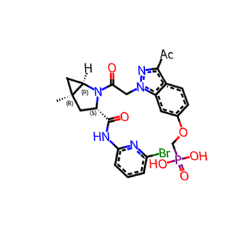 CC(=O)c1nn(CC(=O)N2[C@H](C(=O)Nc3cccc(Br)n3)C[C@@]3(C)C[C@@H]23)c2cc(OCP(=O)(O)O)ccc12